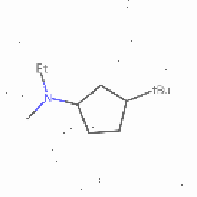 CCN(C)C1CCC(C(C)(C)C)C1